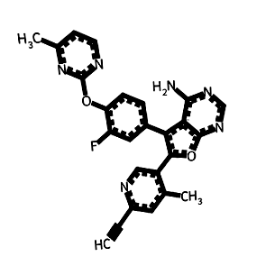 C#Cc1cc(C)c(-c2oc3ncnc(N)c3c2-c2ccc(Oc3nccc(C)n3)c(F)c2)cn1